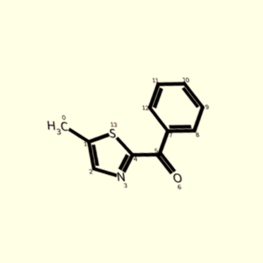 Cc1cnc(C(=O)c2c[c]ccc2)s1